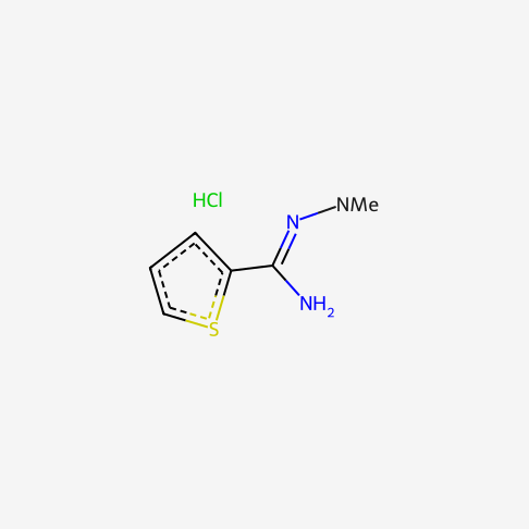 CNN=C(N)c1cccs1.Cl